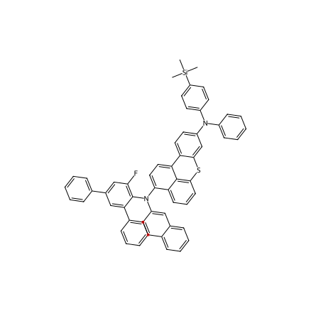 C[Si](C)(C)c1ccc(N(c2ccccc2)c2ccc3c(c2)Sc2cccc4c(N(c5ccc6ccccc6c5)c5c(F)cc(-c6ccccc6)cc5-c5ccccc5)ccc-3c24)cc1